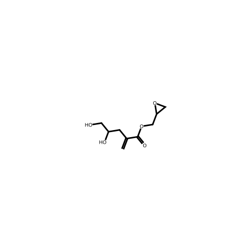 C=C(CC(O)CO)C(=O)OCC1CO1